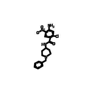 Nc1cc(Cl)c(C(=O)NC2CCN(Cc3ccccc3)CC2)cc1[N+](=O)[O-]